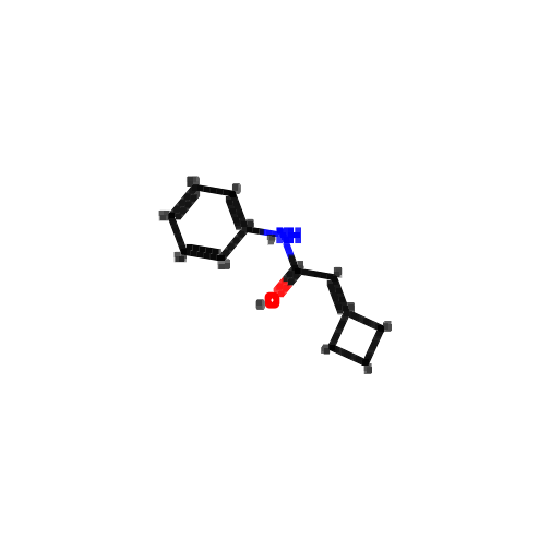 O=C(C=C1CCC1)Nc1ccccc1